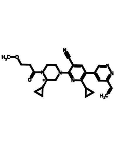 C=Cc1cc(-c2cc(C#N)c(N3CCN(C(=O)CCOC)[C@H](C4CC4)C3)nc2C2CC2)cnn1